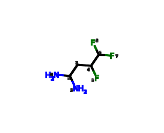 NC(N)CC(F)C(F)F